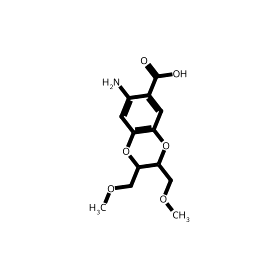 COCC1Oc2cc(N)c(C(=O)O)cc2OC1COC